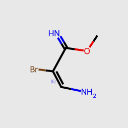 COC(=N)/C(Br)=C\N